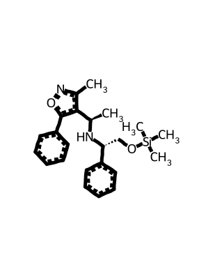 Cc1noc(-c2ccccc2)c1[C@@H](C)N[C@H](CO[Si](C)(C)C)c1ccccc1